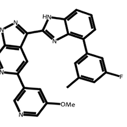 COc1cncc(-c2cc3c(-c4nc5c(-c6cc(C)cc(F)c6)cccc5[nH]4)n[nH]c3cn2)c1